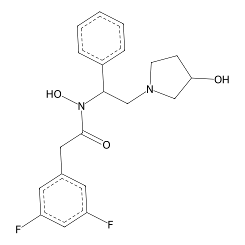 O=C(Cc1cc(F)cc(F)c1)N(O)C(CN1CCC(O)C1)c1ccccc1